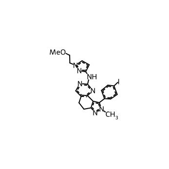 COCCn1ccc(Nc2ncc3c(n2)-c2c(nn(C)c2-c2ccc(I)cc2)CC3)n1